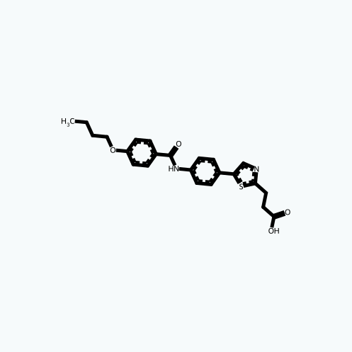 CCCCOc1ccc(C(=O)Nc2ccc(-c3cnc(CCC(=O)O)s3)cc2)cc1